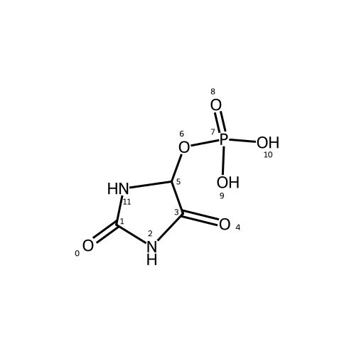 O=C1NC(=O)C(OP(=O)(O)O)N1